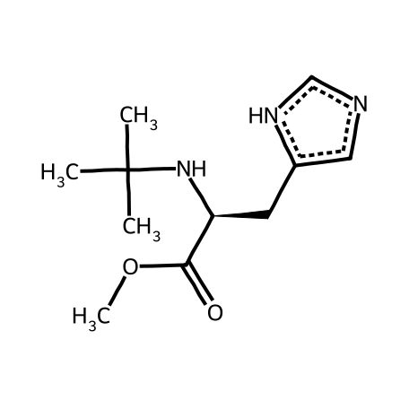 COC(=O)[C@H](Cc1cnc[nH]1)NC(C)(C)C